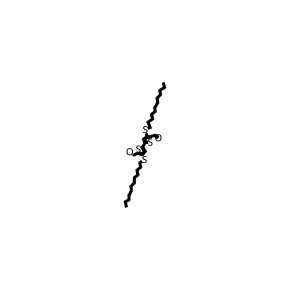 CCCCCCCCCCCCSc1cc(-c2cc(SCCCCCCCCCCCC)c(C=O)s2)sc1C=O